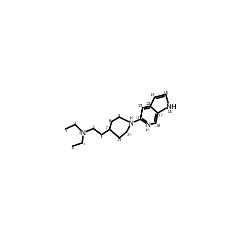 CCN(CC)CCC1CCN(c2cc3cc[nH]c3cn2)CC1